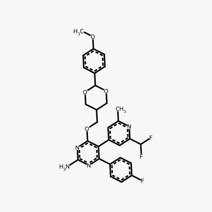 COc1ccc(C2OCC(COc3nc(N)nc(-c4ccc(F)cc4)c3-c3cc(C)nc(C(F)F)c3)CO2)cc1